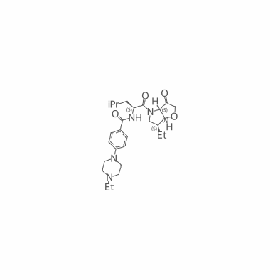 CC[C@H]1CN(C(=O)[C@H](CC(C)C)NC(=O)c2ccc(N3CCN(CC)CC3)cc2)[C@@H]2C(=O)CO[C@H]12